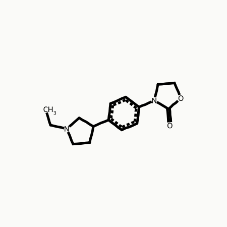 CCN1CCC(c2ccc(N3CCOC3=O)cc2)C1